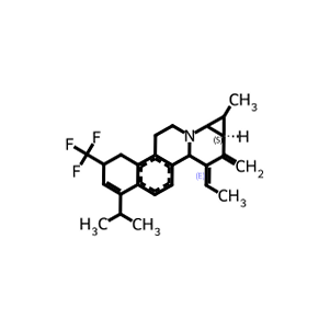 C=C1/C(=C\C)C2c3ccc4c(c3CCN2C2C(C)[C@@H]12)CC(C(F)(F)F)C=C4C(C)C